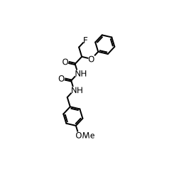 COc1ccc(CNC(=O)NC(=O)C(CF)Oc2ccccc2)cc1